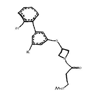 CCc1ccccc1-c1cc(C#N)cc(OC2CN(C(=O)CCSC)C2)c1